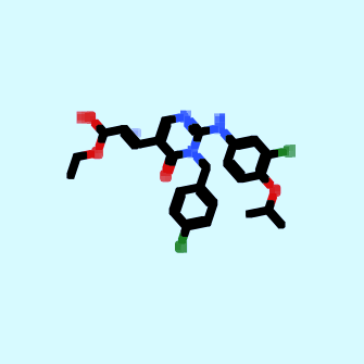 CCOC(O)/C=C/c1cnc(Nc2ccc(OC(C)C)c(Cl)c2)n(Cc2ccc(Cl)cc2)c1=O